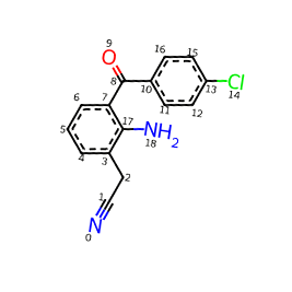 N#CCc1cccc(C(=O)c2ccc(Cl)cc2)c1N